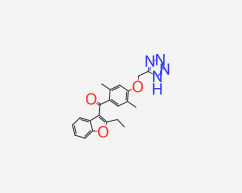 CCc1oc2ccccc2c1C(=O)c1cc(C)c(OCc2nnn[nH]2)cc1C